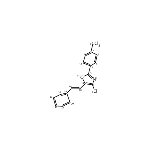 Clc1nc(-c2ccc(C(Cl)(Cl)Cl)cc2)oc1C=Cc1ccccc1